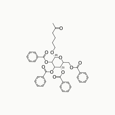 CC(=O)CCCCO[C@@H]1OC(COC(=O)c2ccccc2)[C@H](OC(=O)c2ccccc2)C(OC(=O)c2ccccc2)C1OC(=O)c1ccccc1